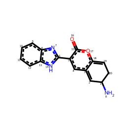 NC1C=c2cc(-c3nc4ccccc4[nH]3)c(=O)oc2=CC1